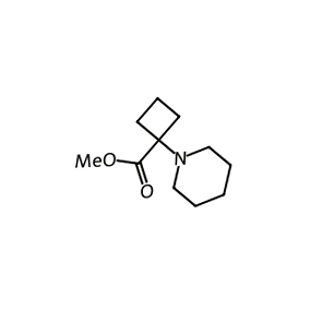 COC(=O)C1(N2CCCCC2)CCC1